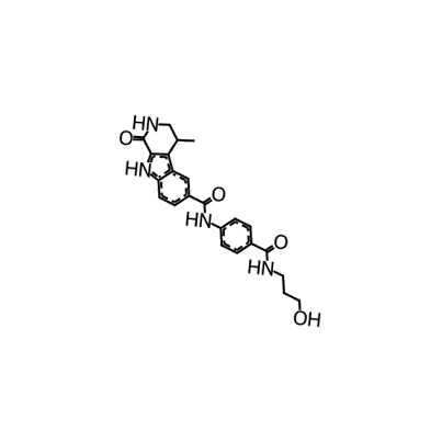 CC1CNC(=O)c2[nH]c3ccc(C(=O)Nc4ccc(C(=O)NCCCO)cc4)cc3c21